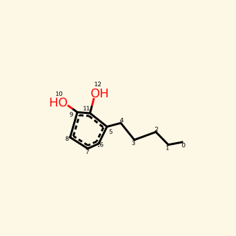 CCCCCc1[c]ccc(O)c1O